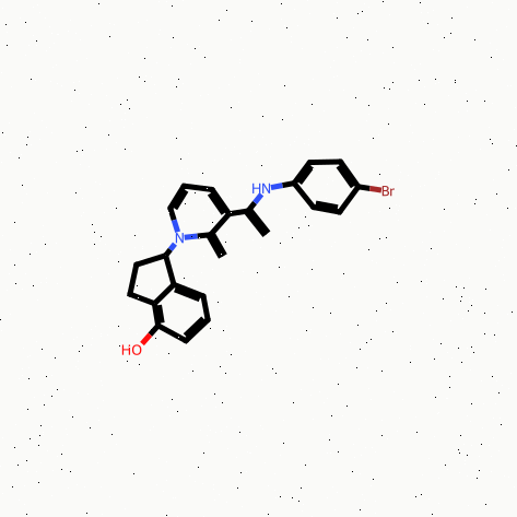 C=C(Nc1ccc(Br)cc1)C1=CC=CN(C2CCc3c(O)cccc32)C1=C